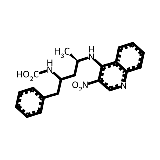 C[C@H](CC(Cc1ccccc1)NC(=O)O)Nc1c([N+](=O)[O-])cnc2ccccc12